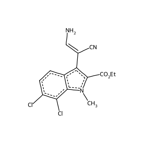 CCOC(=O)c1c(C(C#N)=CN)c2ccc(Cl)c(Cl)c2n1C